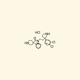 Cl.O=C(NCCC1(c2ccc(Cl)c(Cl)c2)CCNC1)C1(c2ccccc2)CCNCC1